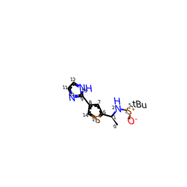 C[C@H](N[S@@+]([O-])C(C)(C)C)c1cc(-c2ncc[nH]2)cs1